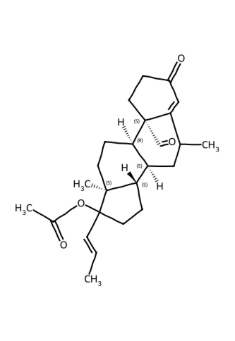 CC=CC1(OC(C)=O)CC[C@H]2[C@@H]3CC(C)C4=CC(=O)CC[C@]4(C=O)[C@@H]3CC[C@@]21C